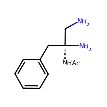 CC(=O)N[C@@](N)(CN)Cc1ccccc1